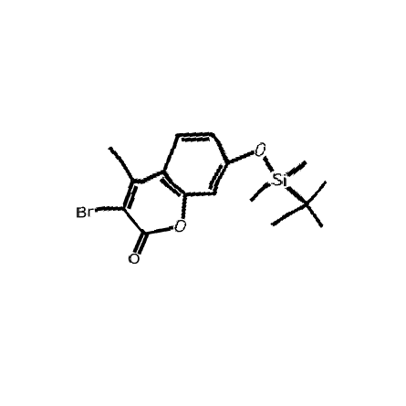 Cc1c(Br)c(=O)oc2cc(O[Si](C)(C)C(C)(C)C)ccc12